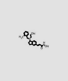 Cc1ccccc1CN(CCO)C1CCc2cc(/C=C/C(=O)NO)ccc21